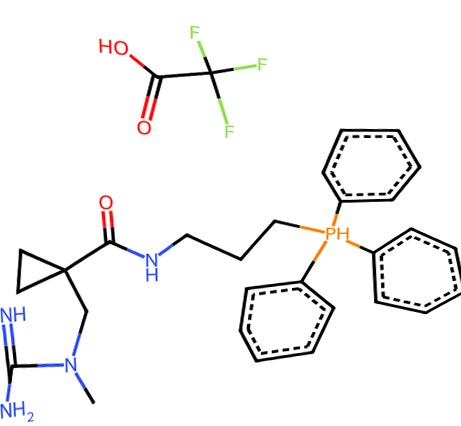 CN(CC1(C(=O)NCCC[PH](c2ccccc2)(c2ccccc2)c2ccccc2)CC1)C(=N)N.O=C(O)C(F)(F)F